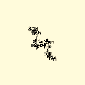 O=C(O)CCC(NC(=O)N[C@@H](CCCCNC(=O)CCP(=O)(O)CP(=O)(O)CN1CCCN2CCN(CCCN(CP(=O)(O)CP(=O)(O)CCC(=O)NCCCC[C@H](NC(=O)NC(CCC(=O)O)C(=O)O)C(=O)O)CC2)CC1)C(=O)O)C(=O)O